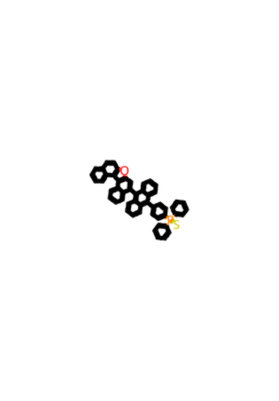 S=P(c1ccccc1)(c1ccccc1)c1ccc(-c2c3ccccc3c(-c3cc4oc5ccc6ccccc6c5c4c4ccccc34)c3ccccc23)cc1